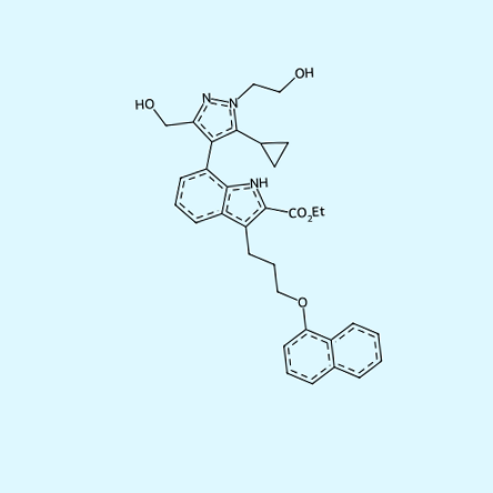 CCOC(=O)c1[nH]c2c(-c3c(CO)nn(CCO)c3C3CC3)cccc2c1CCCOc1cccc2ccccc12